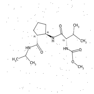 COC(=O)N[C@H](C(=O)N[C@@H]1CCC[C@H]1C(=O)NC(C)C)C(C)C